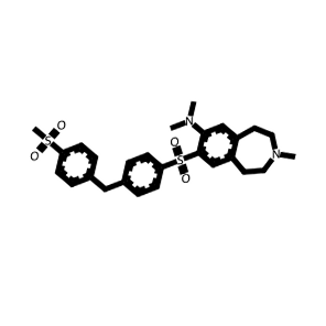 CN1CCc2cc(N(C)C)c(S(=O)(=O)c3ccc(Cc4ccc(S(C)(=O)=O)cc4)cc3)cc2CC1